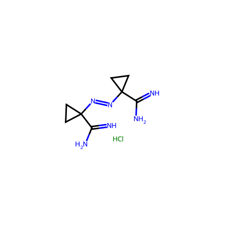 Cl.N=C(N)C1(N=NC2(C(=N)N)CC2)CC1